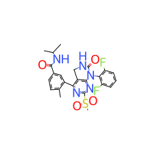 Cc1ccc(C(=O)NC(C)C)cc1-c1nc(S(C)(=O)=O)nc2c1CNC(=O)N2c1c(F)cccc1F